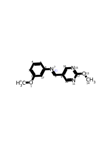 COc1cccc(/N=C/c2cnc(OC)nc2)c1